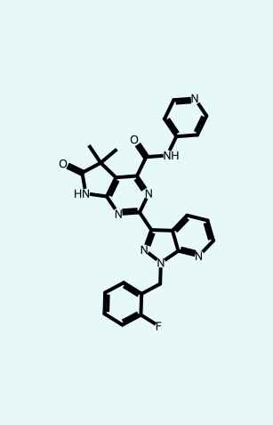 CC1(C)C(=O)Nc2nc(-c3nn(Cc4ccccc4F)c4ncccc34)nc(C(=O)Nc3ccncc3)c21